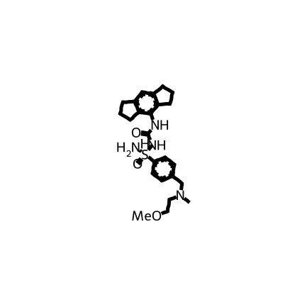 COCCN(C)Cc1ccc([SH](N)(=O)NC(=O)Nc2c3c(cc4c2CCC4)CCC3)cc1